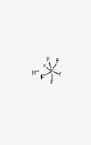 F[P-](F)(F)(F)(F)F.[Fr+]